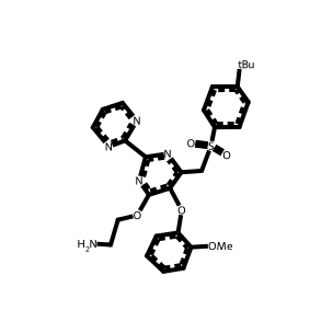 COc1ccccc1Oc1c(CS(=O)(=O)c2ccc(C(C)(C)C)cc2)nc(-c2ncccn2)nc1OCCN